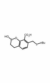 CCCCSCc1ccc2c(c1C(=O)O)OB(O)CC2